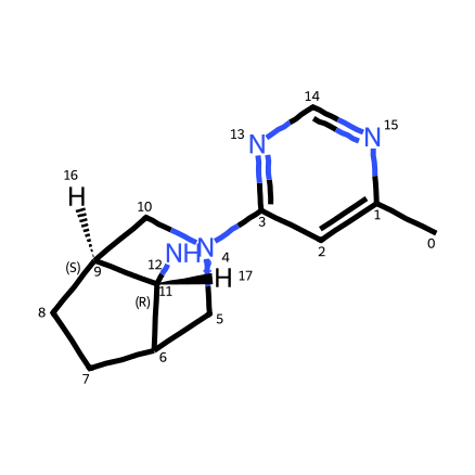 Cc1cc(N2CC3CC[C@@H](C2)[C@@H]3N)ncn1